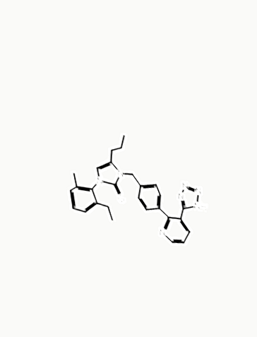 CCCc1cn(-c2c(C)cccc2CC)c(=O)n1Cc1ccc(-c2ncccc2-c2nnn[nH]2)cc1